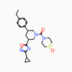 CCc1ccc(C2CC(c3nc(C4CC4)no3)CN(C(=O)N3CC[S+]([O-])CC3)C2)cc1